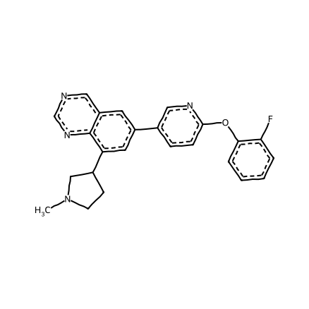 CN1CCC(c2cc(-c3ccc(Oc4ccccc4F)nc3)cc3cncnc23)C1